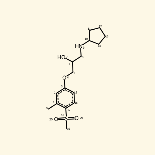 Cc1cc(OCC(O)CNC2CCCC2)ccc1S(C)(=O)=O